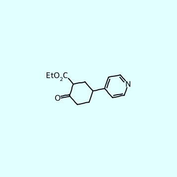 CCOC(=O)C1CC(c2ccncc2)CCC1=O